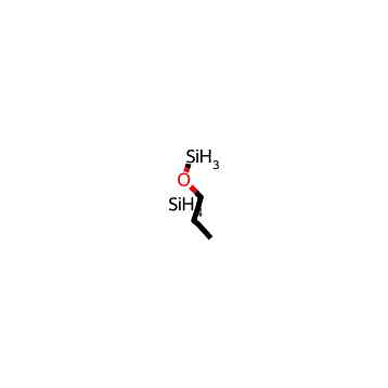 CCCO[SiH3].[SiH4]